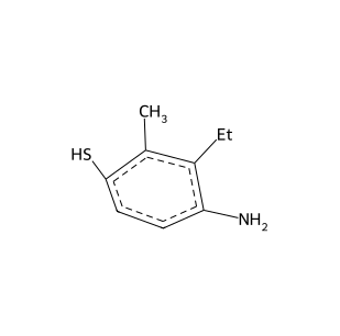 CCc1c(N)ccc(S)c1C